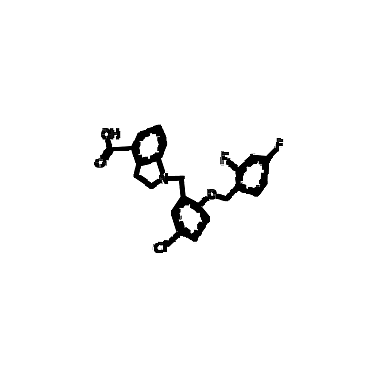 O=C(O)c1cccc2c1CCN2Cc1cc(Cl)ccc1OCc1ccc(F)cc1F